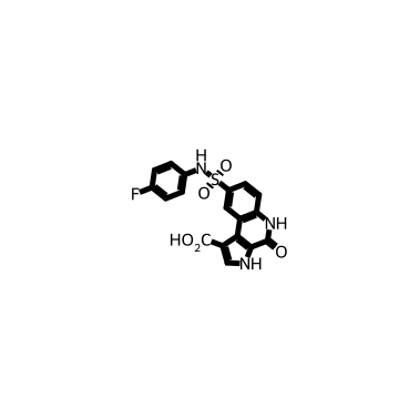 O=C(O)c1c[nH]c2c(=O)[nH]c3ccc(S(=O)(=O)Nc4ccc(F)cc4)cc3c12